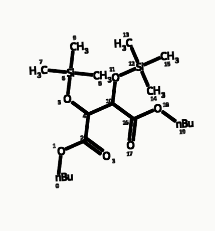 CCCCOC(=O)C(O[Si](C)(C)C)C(O[Si](C)(C)C)C(=O)OCCCC